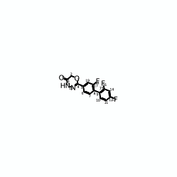 O=C1COC(c2ccc(-c3ccc(F)cc3F)c(F)c2)=NN1